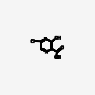 O=C(O)c1ncc(Cl)nc1O